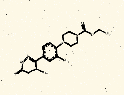 CCOC(=O)N1CCN(c2ccc(C3=NNC(=O)CC3C)cc2N)CC1